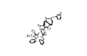 CN(Cc1ccccc1)C(=O)NC[C@H](NC(=O)c1c(Cl)cc2c(c1Cl)CCN(Cc1cccc(F)c1)C2=O)C(=O)OCc1ccccc1